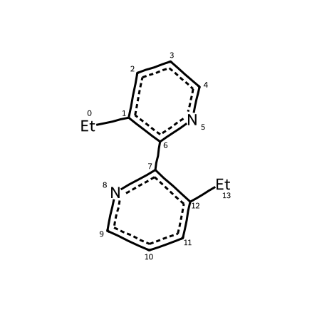 CCc1cccnc1-c1ncccc1CC